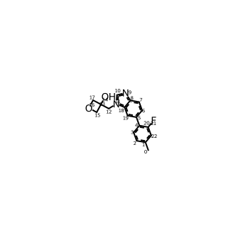 Cc1ccc(-c2ccc3ncn(CC4(O)COC4)c3c2)c(F)c1